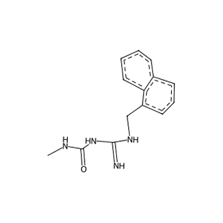 CNC(=O)NC(=N)NCc1cccc2ccccc12